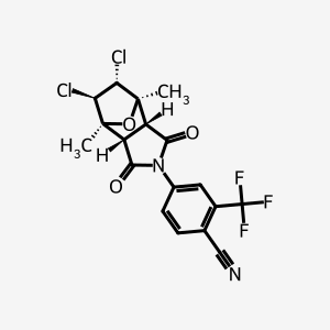 C[C@]12O[C@](C)([C@@H](Cl)[C@@H]1Cl)[C@H]1C(=O)N(c3ccc(C#N)c(C(F)(F)F)c3)C(=O)[C@H]12